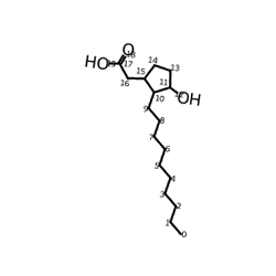 CCCCCCCCCCC1C(O)CCC1CC(=O)O